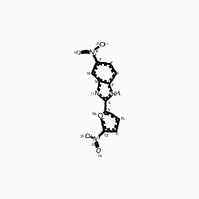 O=[N+]([O-])c1ccc2[nH]c(-c3ccc([N+](=O)[O-])o3)nc2c1